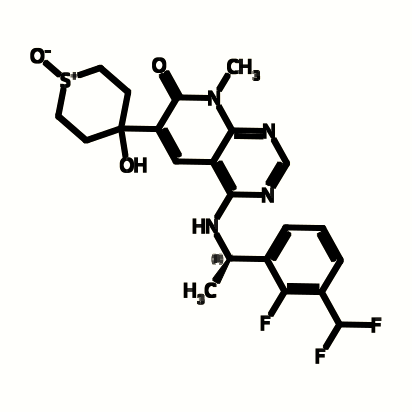 C[C@@H](Nc1ncnc2c1cc(C1(O)CC[S+]([O-])CC1)c(=O)n2C)c1cccc(C(F)F)c1F